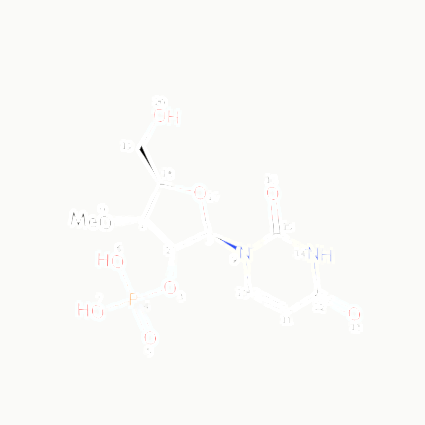 CO[C@H]1[C@@H](OP(=O)(O)O)[C@H](n2ccc(=O)[nH]c2=O)O[C@@H]1CO